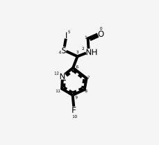 O=CNC(SI)c1ccc(F)cn1